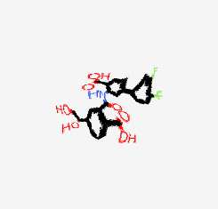 O=C(O)c1ccc(-c2ccc(F)c(F)c2)cc1NC(=O)c1cc(C(O)CO)ccc1C(=O)O